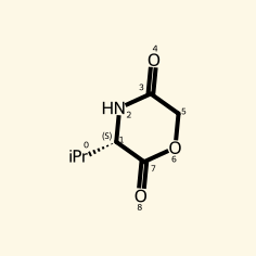 CC(C)[C@@H]1NC(=O)COC1=O